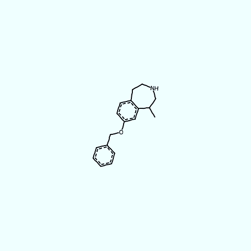 CC1CNCCc2ccc(OCc3ccccc3)cc21